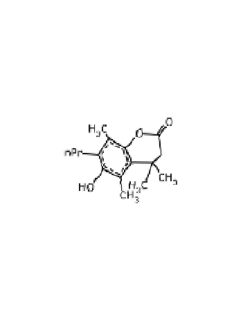 CCCc1c(C)c2c(c(C)c1O)C(C)(C)CC(=O)O2